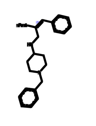 CCCCC/C(=C/c1ccccc1)CNC1CCN(Cc2ccccc2)CC1